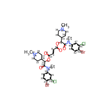 CCN(C(=O)C(OC(=O)/C=C/C(=O)OC(C(=O)N(CC)c1ccc(Br)c(Cl)c1)C1CCN(C)CC1)C1CCN(C)CC1)c1ccc(Br)c(Cl)c1